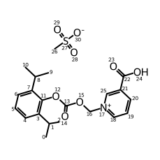 CC(C)c1cccc(C(C)C)c1OC(=O)OC[n+]1cccc(C(=O)O)c1.CS(=O)(=O)[O-]